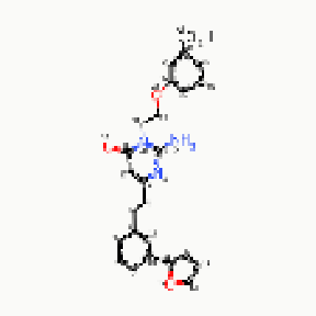 Nc1nc(CCc2cccc(-c3ccco3)c2)cc(=O)n1CCOc1cccc(C(=O)O)c1